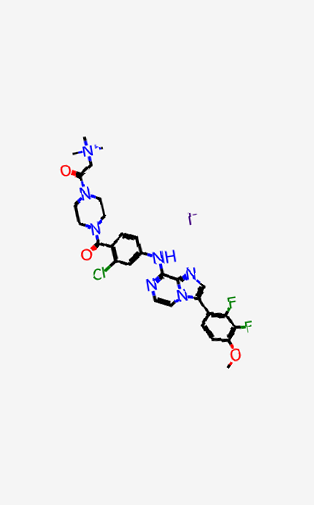 COc1ccc(-c2cnc3c(Nc4ccc(C(=O)N5CCN(C(=O)C[N+](C)(C)C)CC5)c(Cl)c4)nccn23)c(F)c1F.[I-]